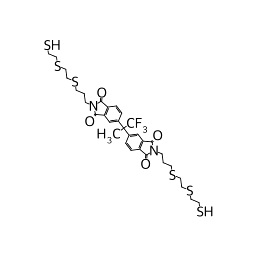 CC(c1ccc2c(c1)C(=O)N(CCCSCCSCCS)C2=O)(c1ccc2c(c1)C(=O)N(CCCSCCSCCS)C2=O)C(F)(F)F